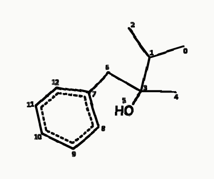 CC(C)C(C)(O)Cc1ccccc1